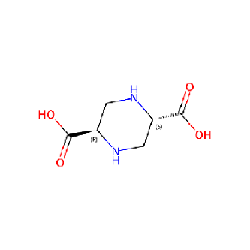 O=C(O)[C@@H]1CN[C@@H](C(=O)O)CN1